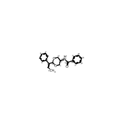 CC=C(c1ccccc1)C1OCC(NC(=O)c2ccccc2)CO1